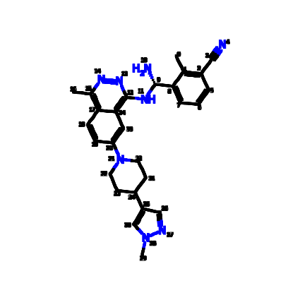 Cc1c(C#N)cccc1[C@@H](N)Nc1nnc(C)c2ccc(N3CCC(c4cnn(C)c4)CC3)cc12